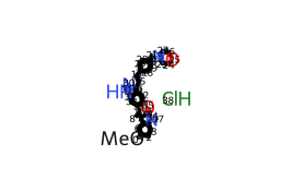 COc1ccc2c(c1)[C@]1(C[C@H]1c1ccc3c(C=Cc4ccc(CN5CCOCC5)cc4)n[nH]c3c1)C(=O)N2C.Cl